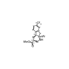 CCCC12Cc3cc(C(F)(F)F)ccc3C1=NC(C(=O)OC)=NN2